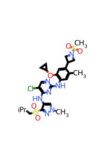 Cc1cc(Nc2ncc(Cl)c(Nc3cn(C)nc3S(=O)(=O)CC(C)C)n2)c(OC2CC2)cc1C1CN(S(C)(=O)=O)C1